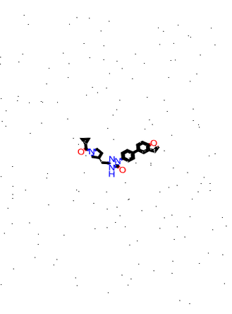 O=C(C1CC1)N1CC[C@@H](Cc2nn(-c3ccc(-c4ccc5occc5c4)cc3)c(=O)[nH]2)C1